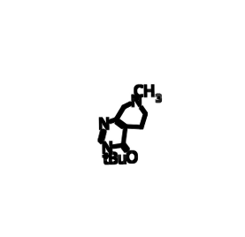 CN1CCc2c(ncn(C(C)(C)C)c2=O)C1